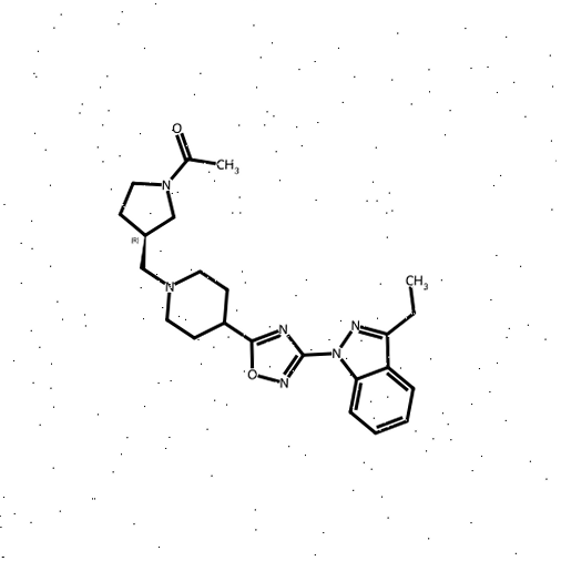 CCc1nn(-c2noc(C3CCN(C[C@H]4CCN(C(C)=O)C4)CC3)n2)c2ccccc12